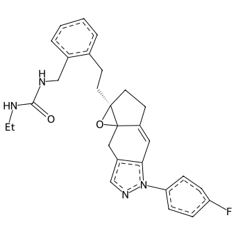 CCNC(=O)NCc1ccccc1CC[C@]12CCC3=Cc4c(cnn4-c4ccc(F)cc4)CC31O2